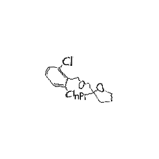 CCCC1(COCc2c(Cl)cccc2Cl)CCCO1